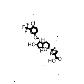 O=C(O)c1csc([C@H]2CC[C@@H]3[C@@H](COc4ccc(Cl)c(C(F)(F)F)c4)[C@H](O)C[C@@H]3O2)n1